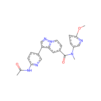 COc1ccc(N(C)C(=O)c2ccn3ncc(-c4ccc(NC(C)=O)nc4)c3c2)cn1